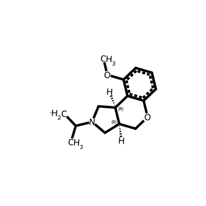 [CH2]C(C)N1C[C@@H]2COc3cccc(OC)c3[C@@H]2C1